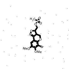 COc1cc2c(c(Br)c1OC)OCC1C2=NOC1COS(C)(=O)=O